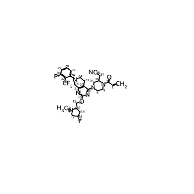 C=CC(=O)N1CCN(c2nc(OC[C@H]3C[C@H](F)CN3C)nc3c2CCN(c2cccc(F)c2C(F)(F)F)C3)CC1CC#N